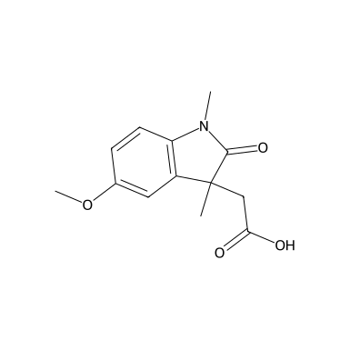 COc1ccc2c(c1)C(C)(CC(=O)O)C(=O)N2C